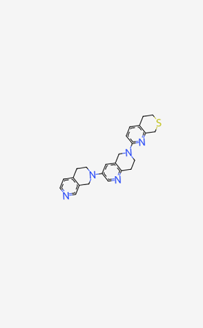 c1cc2c(cn1)CN(c1cnc3c(c1)CN(c1ccc4c(n1)CSCC4)CC3)CC2